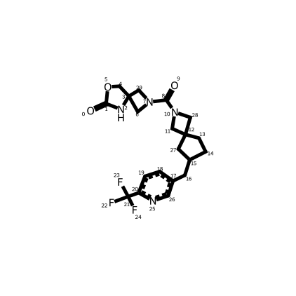 O=C1NC2(CO1)CN(C(=O)N1CC3(CCC(Cc4ccc(C(F)(F)F)nc4)C3)C1)C2